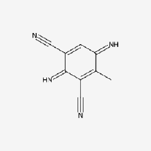 CC1=C(C#N)C(=N)C(C#N)=CC1=N